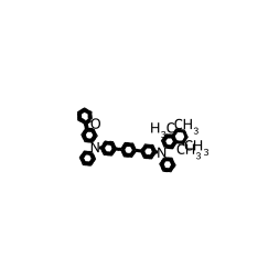 CC1(C)CCC(C)(C)c2cc(N(c3ccccc3)c3ccc(-c4ccc(-c5ccc(N(c6ccccc6)c6ccc7c(c6)oc6ccccc67)cc5)cc4)cc3)ccc21